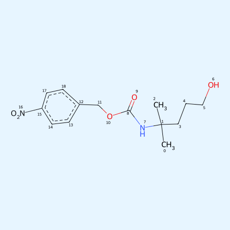 CC(C)(CCCO)NC(=O)OCc1ccc([N+](=O)[O-])cc1